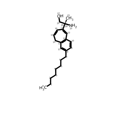 CCCCCCCCc1ccc2c(c1)CC=CC([C@@](C)(N)CO)=C2